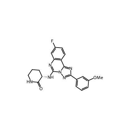 COc1cccc(-c2nc3c4ccc(F)cc4nc(N[C@H]4CCCNC4=O)n3n2)c1